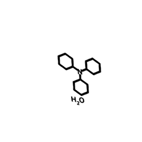 C1CCC(N(C2CCCCC2)C2CCCCC2)CC1.O